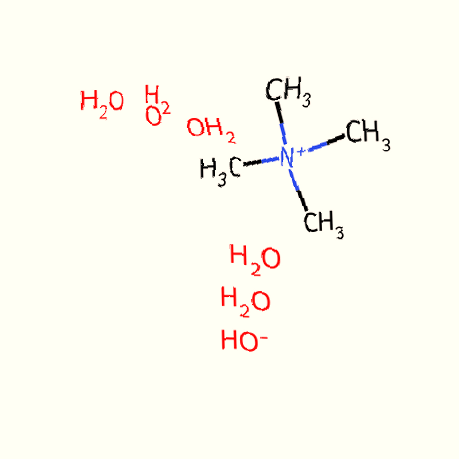 C[N+](C)(C)C.O.O.O.O.O.[OH-]